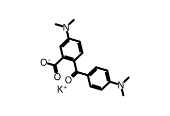 CN(C)c1ccc(C(=O)c2ccc(N(C)C)cc2C(=O)[O-])cc1.[K+]